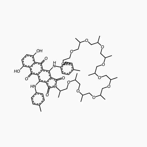 COCCOCC(C)OCC(C)OCC(C)OCC(C)OCC(C)OCC(C)OCC(C)OCC(C)OCC(C)n1c(=O)c2c(Nc3ccc(C)cc3)c3c(=O)c4c(O)ccc(O)c4c(=O)c3c(Nc3ccc(C)cc3)c2c1=O